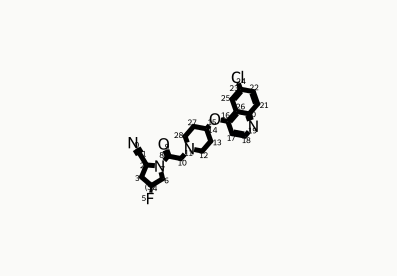 N#CC1C[C@H](F)CN1C(=O)CN1CCC(Oc2ccnc3ccc(Cl)cc23)CC1